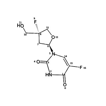 O=c1[nH]c(=O)n([C@H]2C[C@@](F)(CO)CO2)cc1F